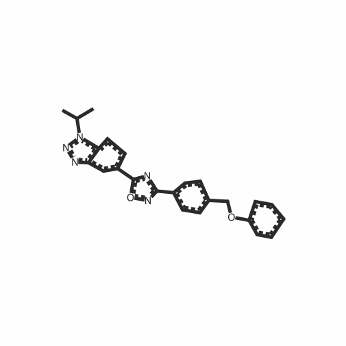 CC(C)n1nnc2cc(-c3nc(-c4ccc(COc5ccccc5)cc4)no3)ccc21